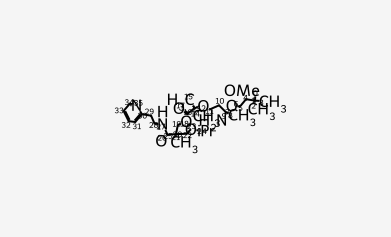 COC(C)(C)CCOC(C)(N)CCOC(C)(C)C(=O)OCC(C)(COC(C)C)C(=O)NCCc1ccccn1